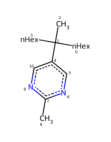 CCCCCCC(C)(CCCCCC)c1cnc(C)nc1